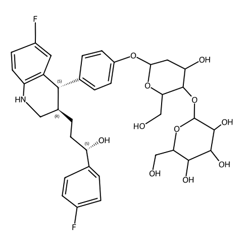 OCC1OC(OC2C(O)CC(Oc3ccc([C@H]4c5cc(F)ccc5NC[C@@H]4CC[C@H](O)c4ccc(F)cc4)cc3)OC2CO)C(O)C(O)C1O